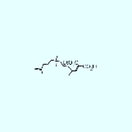 C=C(C)CCCC(C)(C)CCCC(C)C=C(C(=O)OCC)C(=O)OCC